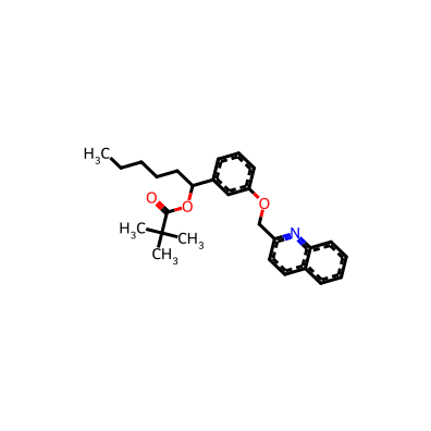 CCCCCC(OC(=O)C(C)(C)C)c1cccc(OCc2ccc3ccccc3n2)c1